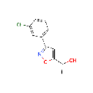 CC(O)c1cc(-c2cccc(Cl)c2)no1